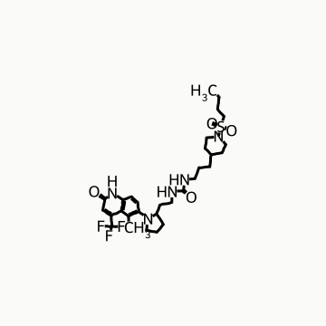 CCCCS(=O)(=O)N1CCC(CCCNC(=O)NCCC2CCCN2c2ccc3[nH]c(=O)cc(C(F)(F)F)c3c2C)CC1